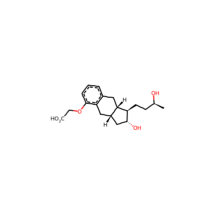 C[C@H](O)CC[C@@H]1[C@H]2Cc3cccc(OCC(=O)O)c3C[C@H]2C[C@H]1O